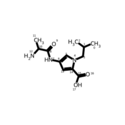 CC(C)Cn1cc(NC(=O)C(C)N)cc1C(=O)O